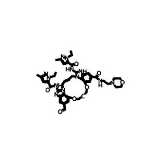 CCn1nc(C)cc1C(=O)Nc1nc2cc(C=O)cc3c2n1C/C=C/CN1c2c(cc(C(=O)NCCN4CCOCC4)cc2OCCCO3)NC1NC(=O)c1cc(C)nn1CC